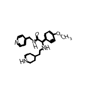 COc1ccc(C(NCCC2CCNCC2)C(=O)NCc2ccncc2)cc1